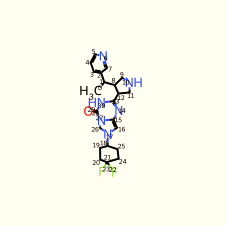 CC(c1cccnc1)C1CNCC1C1=NC2=CN(C3CCC(F)(F)CC3)CN2C(=O)N1